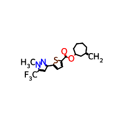 C=C1CCCCC(OC(=O)c2ccc(-c3cc(C(F)(F)F)n(C)n3)s2)C1